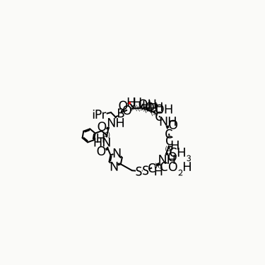 CC(C)CC1NC(=O)[C@H](Cc2ccccc2)NC(=O)c2cnc(cn2)CSSC[C@@H](C(=O)O)NC(=O)[C@@H](C)CCC(=O)NC[C@H](O)[C@@H](O)[C@H](O)[C@H]2COB1O2